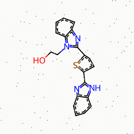 OCCn1c(-c2ccc(-c3nc4ccccc4[nH]3)s2)nc2ccccc21